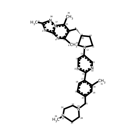 Cc1nc2nc(C)c(C[C@@H]3CCN(c4cnc(-c5ccc(CN6CCN(C)CC6)cc5C)nc4)C3)c(C)n2n1